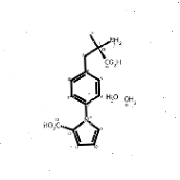 C[C@](N)(Cc1ccc(-n2cccc2C(=O)O)cc1)C(=O)O.O.O